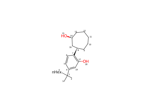 CCCCCCC(C)(C)c1ccc([C@@H]2CCCCC[C@H](O)C2)c(O)c1